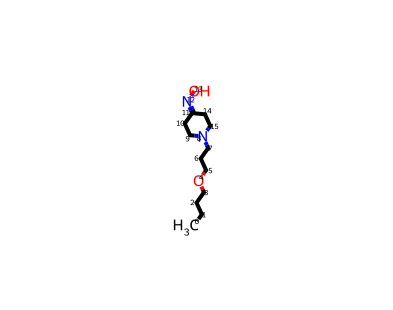 CCCCOCCCN1CCC(=NO)CC1